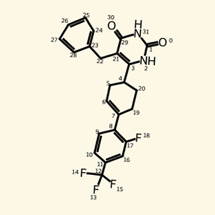 O=c1[nH]c(C2CC=C(c3ccc(C(F)(F)F)cc3F)CC2)c(Cc2ccccc2)c(=O)[nH]1